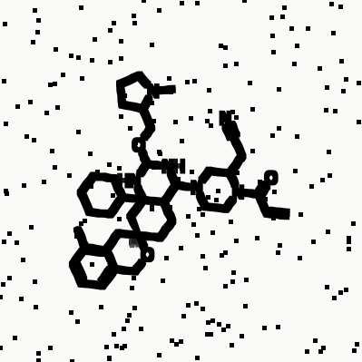 C=CC(=O)N1CCN(C2NC(OCC3CCCN3C)NC3(C4CCCCC4)C[C@]4(CCC23)Cc2c(C)cccc2CO4)CC1CC#N